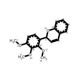 COc1ccc(C2C=Cc3ccccc3O2)c(OC)c1OC